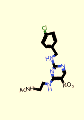 CC(=O)NCCNc1nc(NCc2ccc(Cl)cc2)ncc1[N+](=O)[O-]